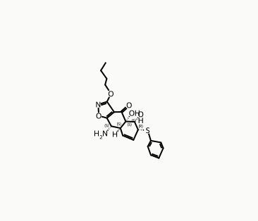 CCCCOc1noc2c1C(=O)[C@@]1(O)[C@H](O)[C@H](Sc3ccccc3)C=C[C@H]1[C@@H]2N